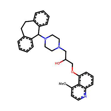 COc1ccnc2cccc(OCC(O)CN3CCN(C4c5ccccc5CCc5ccccc54)CC3)c12